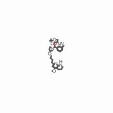 COc1cc(CCCCOC2CCN(C(C(=O)OC(C)(C)C)c3cccc4cnn(C5COC5)c34)C2)nc2c1CCCN2